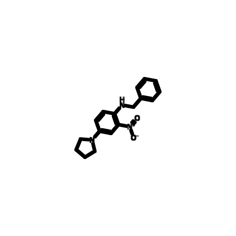 O=[N+]([O-])c1cc(N2CCCC2)ccc1NCc1ccccc1